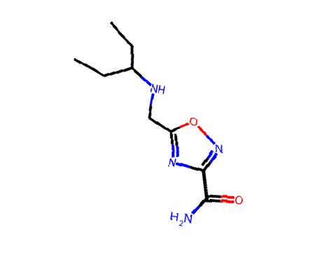 CCC(CC)NCc1nc(C(N)=O)no1